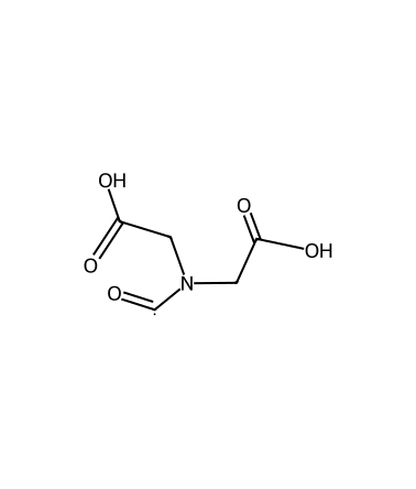 O=[C]N(CC(=O)O)CC(=O)O